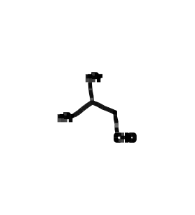 CCCC(CC=O)CCC